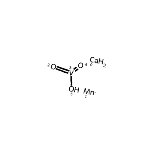 [CaH2].[Mn].[O]=[V](=[O])[OH]